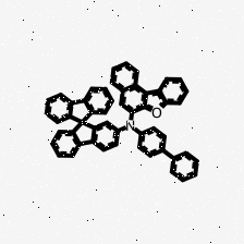 c1ccc(-c2ccc(N(c3ccc4c(c3)C3(c5ccccc5-c5ccccc53)c3ccccc3-4)c3cc4ccccc4c4c3oc3ccccc34)cc2)cc1